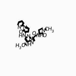 CNc1cc(Nc2cccn(-c3ccccn3)c2=O)nn2c(C(=O)N[C@@H]3CCN(C)C3=O)cnc12